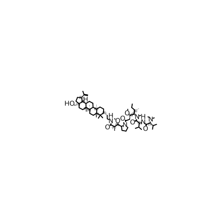 C=C(C)[C@@H]1CC[C@]2(CO)CC[C@]3(C)C(CCC4[C@@]5(C)CC[C@H](CCNC(=O)[C@H](C)[C@@H](OC)C6CCCN6C(=O)C[C@@H](OC)[C@H]([C@@H](C)CC)N(C)C(=O)[C@@H](NC(=O)[C@H](C(C)C)N(C)C)C(C)C)C(C)(C)[C@]5(C)CC[C@]43C)[C@@H]12